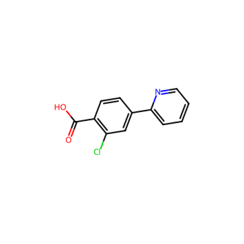 O=C(O)c1ccc(-c2ccccn2)cc1Cl